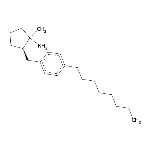 CCCCCCCCc1ccc(C[C@H]2CCC[C@@]2(C)N)cc1